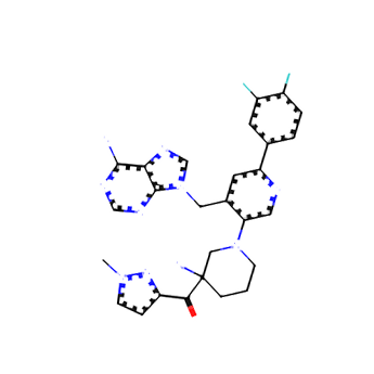 Cn1ccc(C(=O)C2(N)CCCN(c3cnc(-c4ccc(F)c(F)c4)cc3Cn3cnc4c(N)ncnc43)C2)n1